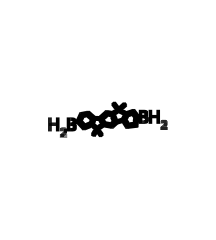 Bc1ccc2c(c1)C(C)(C)c1cc3c(cc1-2)C(C)(C)c1cc(B)ccc1-3